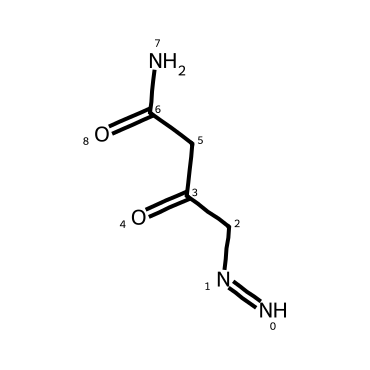 N=NCC(=O)CC(N)=O